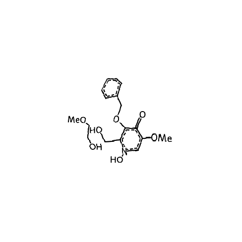 COCCO.COc1cn(O)c(CO)c(OCc2ccccc2)c1=O